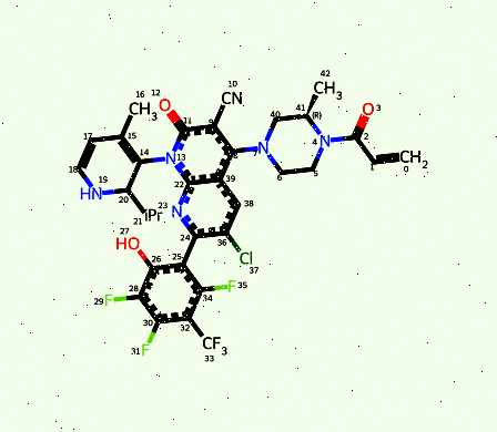 C=CC(=O)N1CCN(c2c(C#N)c(=O)n(C3=C(C)C=CNC3C(C)C)c3nc(-c4c(O)c(F)c(F)c(C(F)(F)F)c4F)c(Cl)cc23)C[C@H]1C